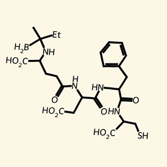 BC(C)(CC)NC(CCC(=O)NC(CC(=O)O)C(=O)NC(Cc1ccccc1)C(=O)NC(CS)C(=O)O)C(=O)O